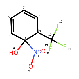 O=[N+]([O-])C1(O)C=CC=CC1C(F)(F)F